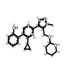 Cn1nnc(-c2ncc(-c3ccccc3O)c(C3CC3)n2)c1COC1CCCCO1